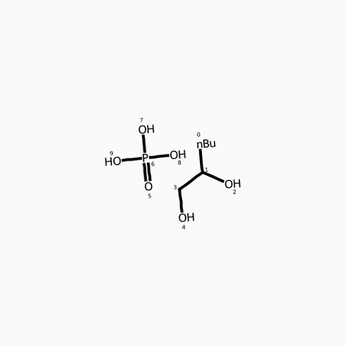 CCCCC(O)CO.O=P(O)(O)O